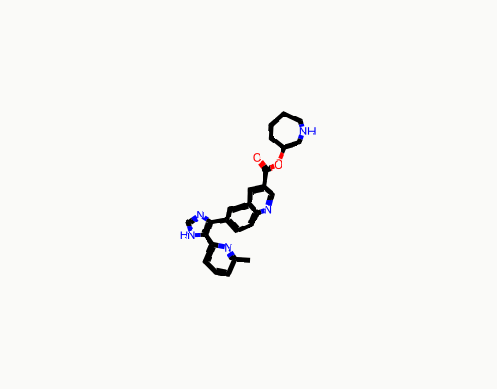 Cc1cccc(-c2[nH]cnc2-c2ccc3ncc(C(=O)OC4CCCCNC4)cc3c2)n1